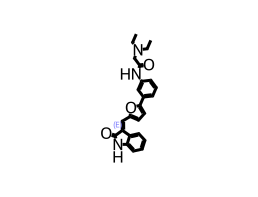 CCN(CC)CC(=O)Nc1cccc(-c2ccc(/C=C3/C(=O)Nc4ccccc43)o2)c1